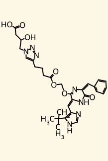 CC(C)(C)c1[nH]cnc1C=c1[nH]c(=O)c(=Cc2ccccc2)nc1OCOC(=O)CCCc1cn(C[C@H](O)CC(=O)O)nn1